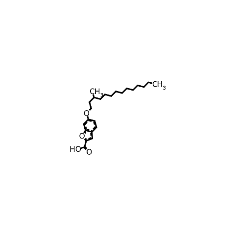 CCCCCCCCCCCC(C)CCOc1ccc2cc(C(=O)O)oc2c1